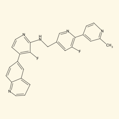 Cc1cc(-c2ncc(CNc3nccc(-c4ccc5ncccc5c4)c3F)cc2F)ccn1